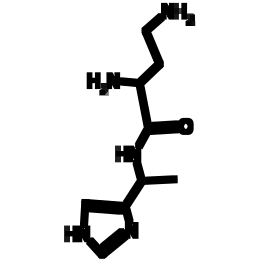 CC(NC(=O)C(N)CCN)c1c[nH]cn1